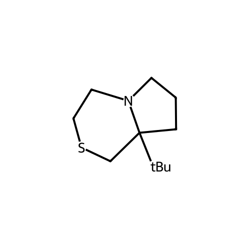 CC(C)(C)C12CCCN1CCSC2